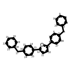 c1ccc(Cc2ccc(-c3ccc(-c4ccc(Cc5ccccc5)cc4)o3)cc2)cc1